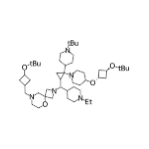 CCN1CCC(C(C2CC2(C2CCN(C(C)(C)C)CC2)N2CCC(O[C@H]3C[C@H](OC(C)(C)C)C3)CC2)N2CC3(CN(CC4CC(OC(C)(C)C)C4)CCO3)C2)CC1